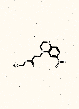 CCOC(=O)CCN1CCOc2ccc([N+](=O)[O-])cc21